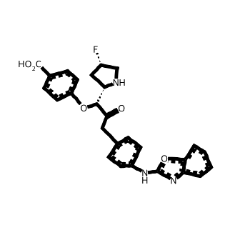 O=C(O)c1ccc(OC(C(=O)Cc2ccc(Nc3nc4ccccc4o3)cc2)[C@@H]2C[C@H](F)CN2)cc1